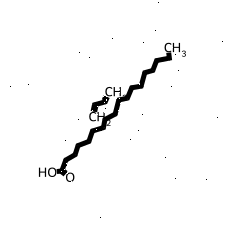 C=CC=C.CCCCCCCCCCCCCCCCCC(=O)O